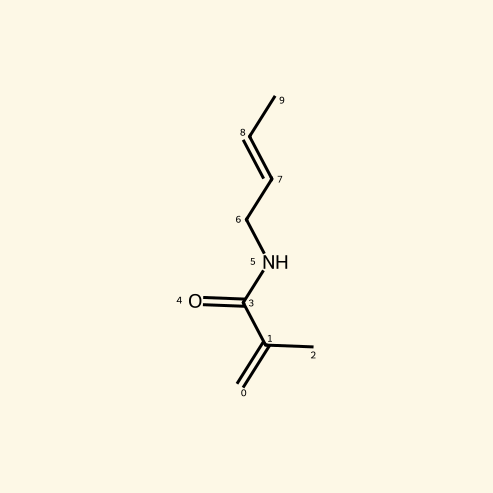 C=C(C)C(=O)NCC=CC